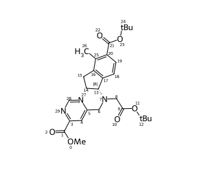 COC(=O)c1cc(CN(CC(=O)OC(C)(C)C)[C@@H]2CCc3c2ccc(C(=O)OC(C)(C)C)c3C)ncn1